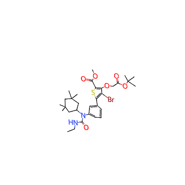 CCNC(=O)N(c1cccc(-c2sc(C(=O)OC)c(OCC(=O)OC(C)(C)C)c2Br)c1)C1CC(C)(C)CC(C)(C)C1